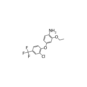 CCOc1cc(Oc2ccc(C(F)(F)F)cc2Cl)ccc1N